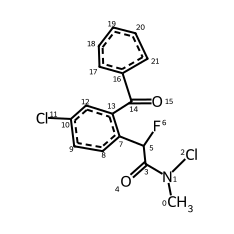 CN(Cl)C(=O)C(F)c1ccc(Cl)cc1C(=O)c1ccccc1